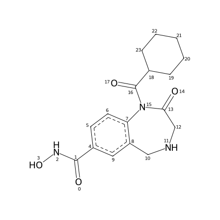 O=C(NO)c1ccc2c(c1)CNCC(=O)N2C(=O)C1CCCCC1